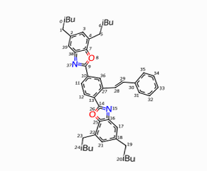 CCC(C)Cc1cc(CC(C)CC)c2oc(-c3ccc(-c4nc5cc(CC(C)CC)cc(CC(C)CC)c5o4)c(C=Cc4ccccc4)c3)nc2c1